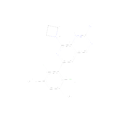 COc1cc(OC)c(Cl)c(-c2cc3cnc(N)nc3c(N3CCC3)n2)c1Cl